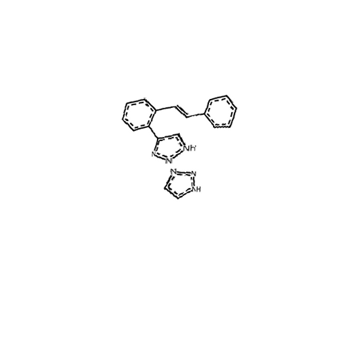 C(=Cc1ccccc1-c1c[nH]nn1)c1ccccc1.c1c[nH]nn1